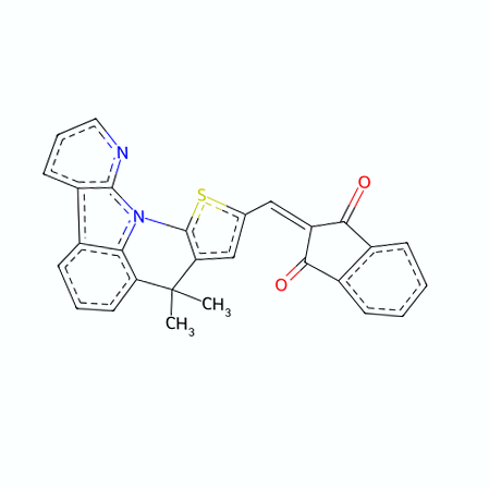 CC1(C)c2cc(C=C3C(=O)c4ccccc4C3=O)sc2-n2c3ncccc3c3cccc1c32